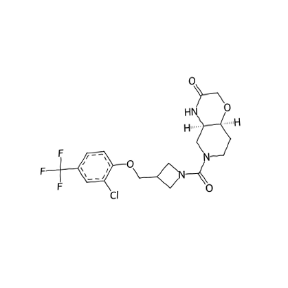 O=C1CO[C@H]2CCN(C(=O)N3CC(COc4ccc(C(F)(F)F)cc4Cl)C3)C[C@H]2N1